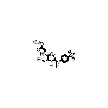 CC(C)C[C@H](NC(=O)Nc1ccc(S(C)(=O)=O)cc1)C(=O)NCC(=O)OC(C)(C)C